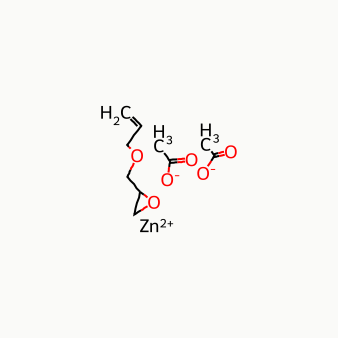 C=CCOCC1CO1.CC(=O)[O-].CC(=O)[O-].[Zn+2]